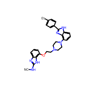 CCc1ccc(-c2nc3c(N4CCN(CCOc5cccc6nc(NC#N)[nH]c56)CC4)cccc3[nH]2)cc1